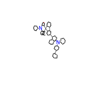 c1ccc(-c2ccc(N(c3ccccc3)c3ccc(-c4ccc5c(c4)-c4ccccc4C54c5ccccc5N(c5ccccc5)c5ccccc54)c4ccccc34)cc2)cc1